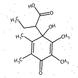 CCC(C(=O)O)C1(O)C(C)=C(C)C(=O)C(C)=C1C